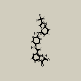 O=C1Nc2c(C(=O)NC3CCC(Nc4cccc5nc(C(F)(F)F)cn45)CC3)cccc2C1=O